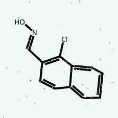 ON=Cc1ccc2ccccc2c1Cl